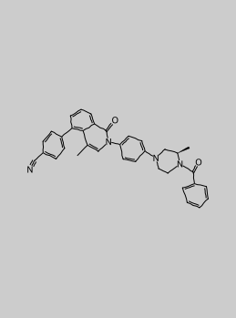 Cc1cn(-c2ccc(N3CCN(C(=O)c4ccccc4)[C@H](C)C3)cc2)c(=O)c2cccc(-c3ccc(C#N)cc3)c12